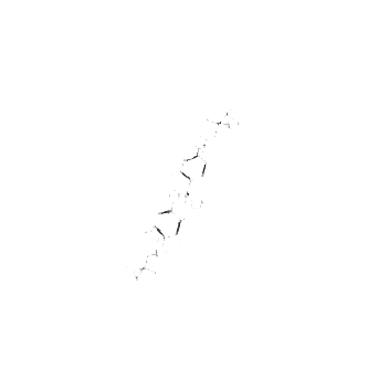 CC1(COc2ccc(OC(=O)c3ccc(OCC4(C)CO4)cc3)cc2)CO1